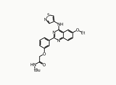 CCOc1ccc2nc(-c3cccc(OCC(=O)NC(C)(C)C)c3)nc(Nc3cnsc3)c2c1